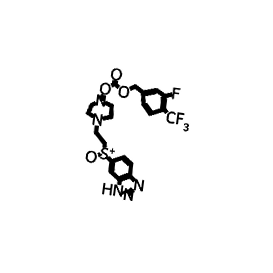 O=C(OCc1ccc(C(F)(F)F)c(F)c1)ON1CCN(CC[S+]([O-])c2ccc3nn[nH]c3c2)CC1